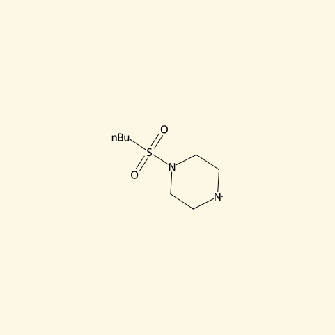 CCCCS(=O)(=O)N1CC[N]CC1